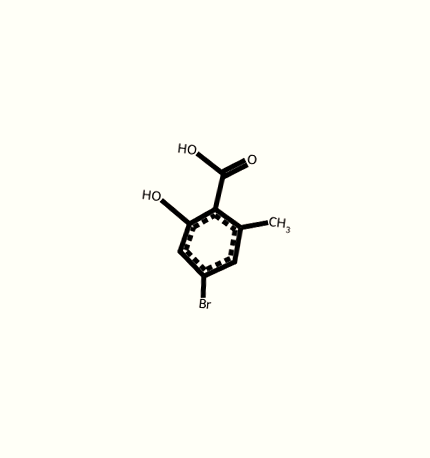 Cc1cc(Br)cc(O)c1C(=O)O